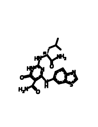 CC(C)C[C@@H](Nc1nc(Nc2ccc3ncsc3c2)c(C(N)=O)c(=O)[nH]1)C(N)=O